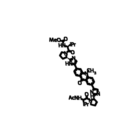 COC(=O)N[C@H](C(=O)N1CCC[C@H]1c1ncc(-c2ccc3c(=O)c4cc(-c5cnc([C@@H]6CCCN6C(=O)C(NC(C)=O)C(C)C)[nH]5)ccc4n(C)c3c2)[nH]1)C(C)C